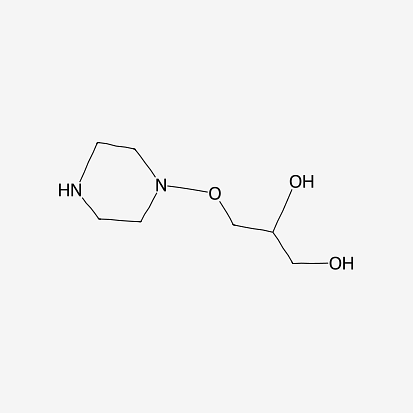 OCC(O)CON1CCNCC1